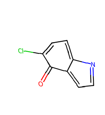 O=C1C(Cl)=CC=C2N=CC=C12